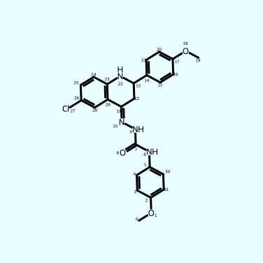 COc1ccc(NC(=O)NN=C2CC(c3ccc(OC)cc3)Nc3ccc(Cl)cc32)cc1